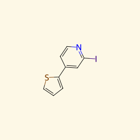 Ic1cc(-c2cccs2)ccn1